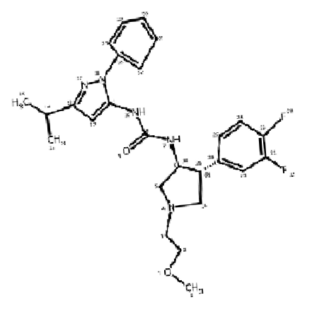 COCCN1C[C@@H](NC(=O)Nc2cc(C(C)C)nn2-c2ccccc2)[C@H](c2ccc(F)c(F)c2)C1